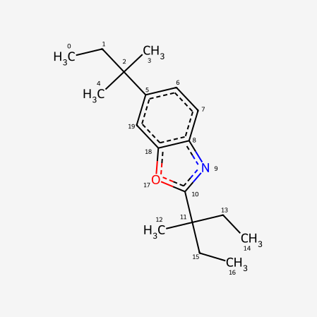 CCC(C)(C)c1ccc2nc(C(C)(CC)CC)oc2c1